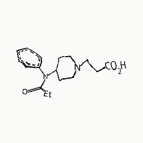 CCC(=O)N(c1ccccc1)C1CCN(CCC(=O)O)CC1